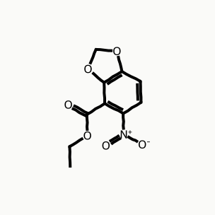 CCOC(=O)c1c([N+](=O)[O-])ccc2c1OCO2